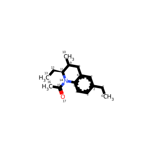 CCc1ccc2c(c1)CC(C)[C@H](CC)N2C(C)=O